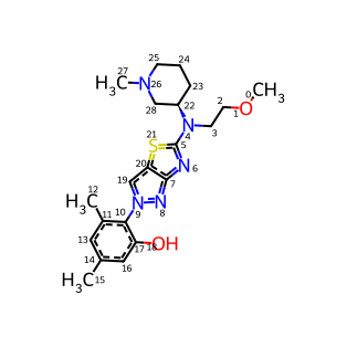 COCCN(c1nc2nn(-c3c(C)cc(C)cc3O)cc2s1)[C@@H]1CCCN(C)C1